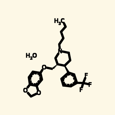 CCCCCN1CC[C@@H](c2cccc(C(F)(F)F)c2)[C@H](COc2ccc3c(c2)OCO3)C1.O